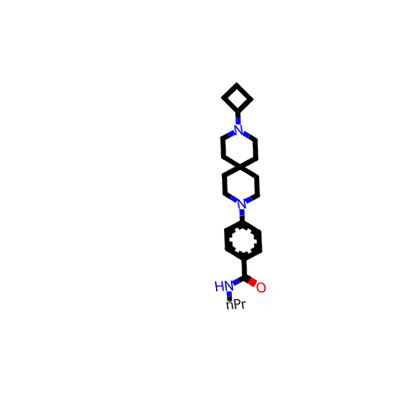 CCCNC(=O)c1ccc(N2CCC3(CC2)CCN(C2CCC2)CC3)cc1